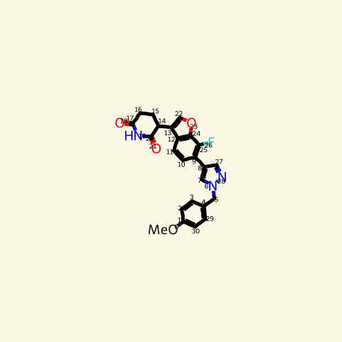 COc1ccc(Cn2cc(-c3ccc4c(C5CCC(=O)NC5=O)coc4c3F)cn2)cc1